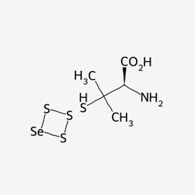 CC(C)(S)[C@H](N)C(=O)O.S1S[Se]S1